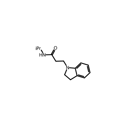 CC(C)NC(=O)CCN1CCc2ccccc21